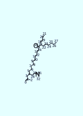 C=C(C)CC(CCCCCCCCCCC(=O)C(CCCC)CCCCCC)CCN(C)C